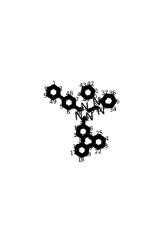 c1ccc(-c2ccc(-c3nc(-c4ccc5c6ccccc6c6ccccc6c5c4)nc(-c4nc5ccccc5n4-c4ccccc4)n3)cc2)cc1